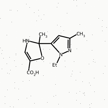 CCn1nc(C)cc1C1(C)NC=C(C(=O)O)O1